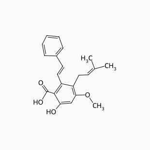 COc1cc(O)c(C(=O)O)c(/C=C/c2ccccc2)c1CC=C(C)C